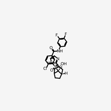 O=C(Nc1ccc(F)c(F)c1)c1ccc(Cl)c(S(=O)(=O)[C@H]2C3CC[C@H]2C[C@](O)(c2ncc[nH]2)C3)c1